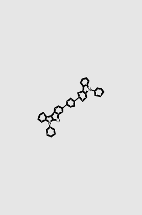 c1ccc(-n2c3ccccc3c3cc(-c4ccc(-c5ccc6c(c5)oc5c6c6ccccc6n5-c5ccccc5)cc4)ccc32)cc1